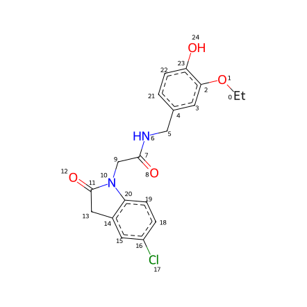 CCOc1cc(CNC(=O)CN2C(=O)Cc3cc(Cl)ccc32)ccc1O